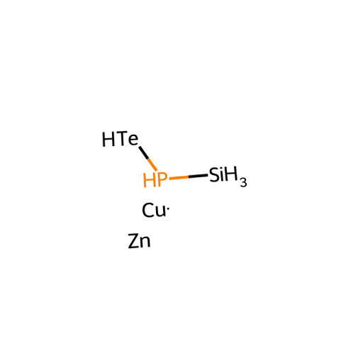 [Cu].[SiH3]P[TeH].[Zn]